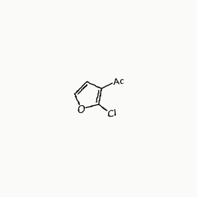 CC(=O)c1ccoc1Cl